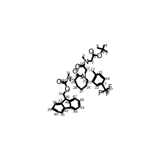 CN(CC(=O)OC(C)(C)C)C(=O)[C@H](Cc1ccc(C(F)(F)F)cc1)N1CCCC[C@H](N(C)C(=O)OCC2c3ccccc3-c3ccccc32)C1=O